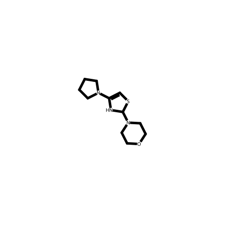 C1=C(N2CCCC2)NC(N2CCOCC2)S1